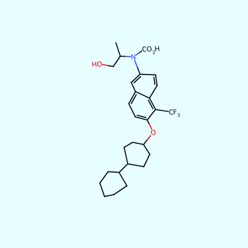 CC(CO)N(C(=O)O)c1ccc2c(C(F)(F)F)c(OC3CCC(C4CCCCC4)CC3)ccc2c1